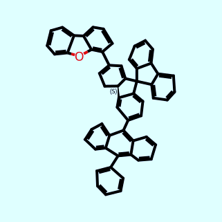 C[C@H]1CC=C(c2cccc3c2oc2ccccc23)C=C1C1(c2ccc(-c3c4ccccc4c(-c4ccccc4)c4ccccc34)cc2)c2ccccc2-c2ccccc21